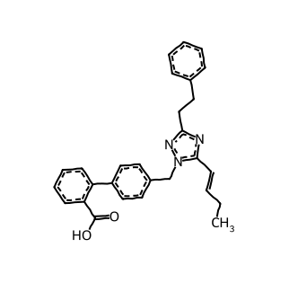 CCC=Cc1nc(CCc2ccccc2)nn1Cc1ccc(-c2ccccc2C(=O)O)cc1